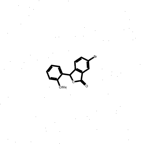 COc1ccccc1C1OC(=O)c2cc(Br)ccc21